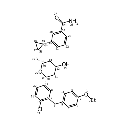 CCOc1ccc(Cc2cc([C@H]3CC(O)C[C@@H](C[C@@H]4C[C@@H]4c4cccc(C(N)=O)c4)O3)ccc2Cl)cc1